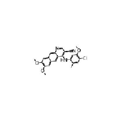 COc1cc(Nc2c(C#N)cnc3cc4cc(OC)c(OC)cc4cc23)c(C)cc1Cl